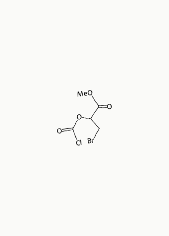 COC(=O)C(CBr)OC(=O)Cl